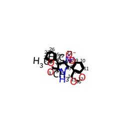 COC(=O)[C@@]1(C)N[C@@H](c2cccc3c2COCO3)[C@@](C)([N+](=O)[O-])[C@@H]1c1ccccc1